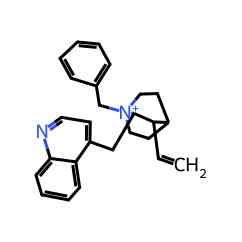 C=CC1C2CC[N+](Cc3ccccc3)(CC2)C1Cc1ccnc2ccccc12